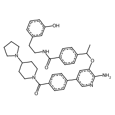 CC(Oc1cc(-c2ccc(C(=O)N3CCC(N4CCCC4)CC3)cc2)cnc1N)c1ccc(C(=O)NCCc2cccc(O)c2)cc1